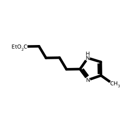 CCOC(=O)CCCCc1nc(C)c[nH]1